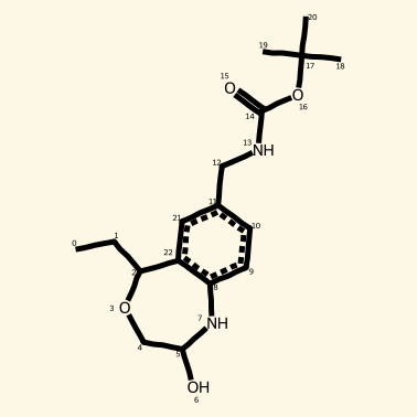 CCC1OCC(O)Nc2ccc(CNC(=O)OC(C)(C)C)cc21